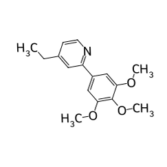 CCc1ccnc(-c2cc(OC)c(OC)c(OC)c2)c1